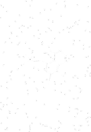 Oc1nncc2c(F)c(Cl)nc(OCC(F)(F)F)c12